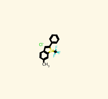 Cc1ccc2cc(-c3ccccc3)[s+](C(F)(F)F)c2c1.[Cl-]